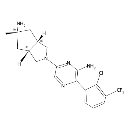 C[C@]1(N)C[C@H]2CN(c3cnc(-c4cccc(C(F)(F)F)c4Cl)c(N)n3)C[C@H]2C1